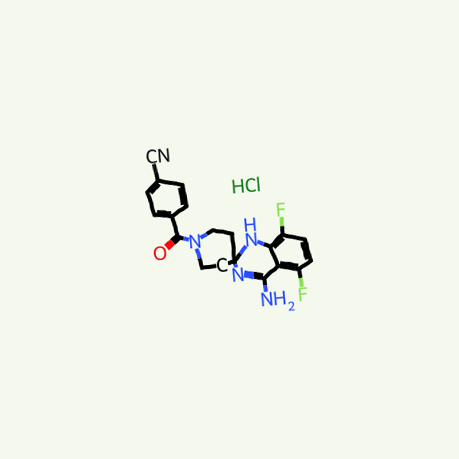 Cl.N#Cc1ccc(C(=O)N2CCC3(CC2)N=C(N)c2c(F)ccc(F)c2N3)cc1